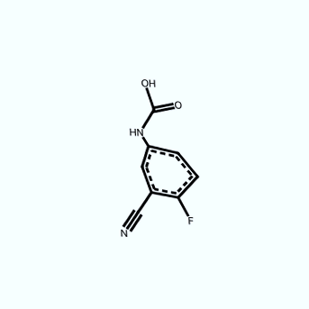 N#Cc1cc(NC(=O)O)ccc1F